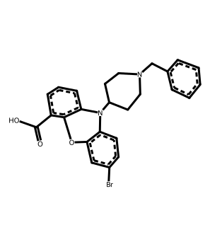 O=C(O)c1cccc2c1Oc1cc(Br)ccc1N2C1CCN(Cc2ccccc2)CC1